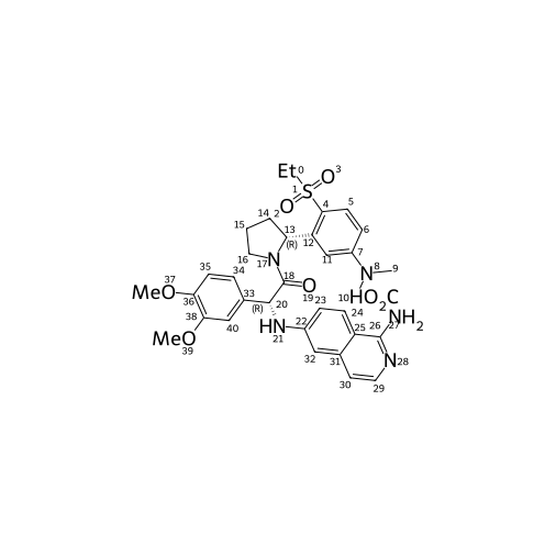 CCS(=O)(=O)c1ccc(N(C)C(=O)O)cc1[C@H]1CCCN1C(=O)[C@H](Nc1ccc2c(N)nccc2c1)c1ccc(OC)c(OC)c1